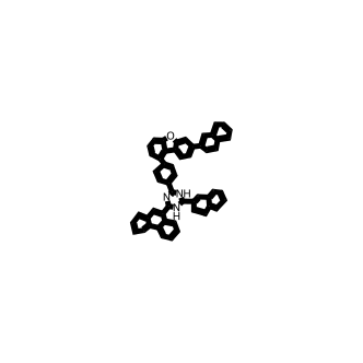 c1ccc2cc(-c3ccc4c(c3)oc3cccc(-c5ccc(C6=NC(c7cc8ccccc8c8ccccc78)NC(c7ccc8ccccc8c7)N6)cc5)c34)ccc2c1